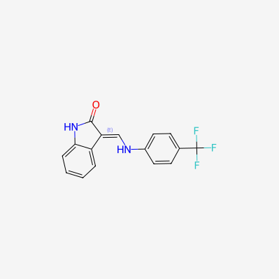 O=C1Nc2ccccc2/C1=C\Nc1ccc(C(F)(F)F)cc1